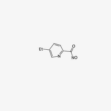 CCc1ccc(C(=O)N=O)nc1